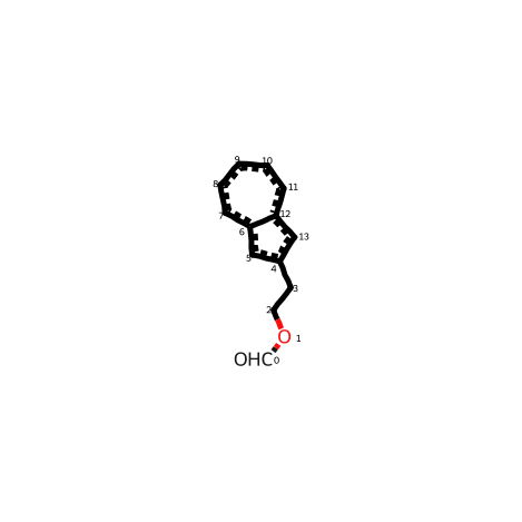 O=COCCc1cc2cccccc-2c1